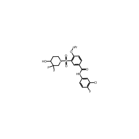 CCCOc1ccc(C(=O)Nc2ccc(F)c(Cl)c2)cc1S(=O)(=O)N1CCC(O)C(F)(F)C1